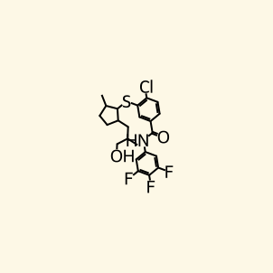 CC(CO)CC1CCC(C)C1Sc1cc(C(=O)Nc2cc(F)c(F)c(F)c2)ccc1Cl